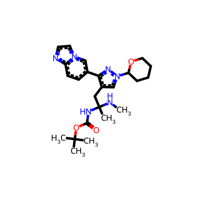 CNC(C)(Cc1cn(C2CCCCO2)nc1-c1ccc2nccn2c1)NC(=O)OC(C)(C)C